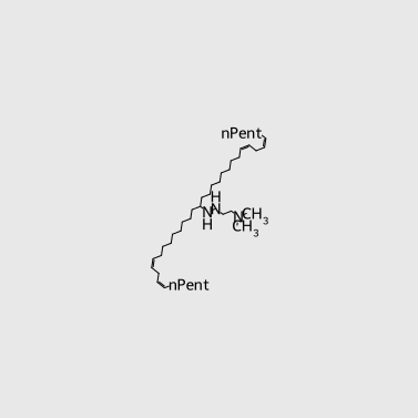 CCCCC/C=C\C/C=C\CCCCCCCCC(CCCCCCCC/C=C\C/C=C\CCCCC)NNCCN(C)C